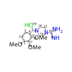 COc1ccc(CN2CCN(C(=N)N)CC2)c(OC)c1OC.Cl